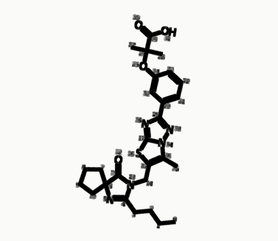 CCCCC1=NC2(CCCC2)C(=O)N1Cc1sc2nc(-c3cccc(OC(C)(C)C(=O)O)c3)nn2c1C